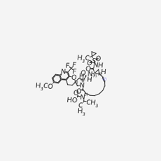 COc1ccc2nc(C(F)(F)F)c3c(c2c1)CC[C@]1(C[C@H]2C(=O)N[C@]4(C(=O)NS(=O)(=O)C5(C)CC5)C[C@H]4/C=C\CCCCC[C@H](N(C(=O)O)C(C)C)C(=O)N2C1)O3